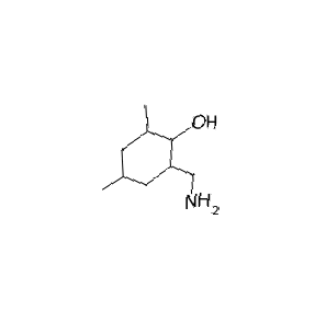 CC1CC(C)C(O)C(CN)C1